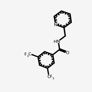 O=C(NCc1ccccn1)c1cc(C(F)(F)F)cc(C(F)(F)F)c1